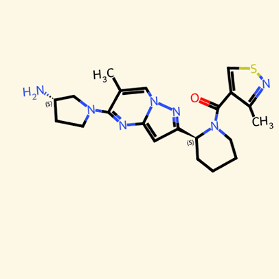 Cc1cn2nc([C@@H]3CCCCN3C(=O)c3csnc3C)cc2nc1N1CC[C@H](N)C1